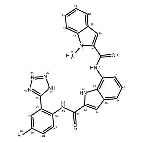 Cn1c(C(=O)Nc2cccc3cc(C(=O)Nc4ccc(Br)cc4-c4nnn[nH]4)[nH]c23)cc2ccccc21